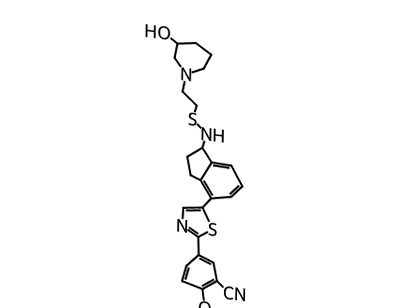 CC(C)Oc1ccc(-c2ncc(-c3cccc4c3CCC4NSCCN3CCCC(O)C3)s2)cc1C#N